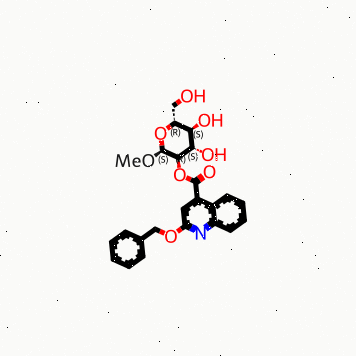 CO[C@H]1O[C@H](CO)[C@@H](O)[C@H](O)[C@H]1OC(=O)c1cc(OCc2ccccc2)nc2ccccc12